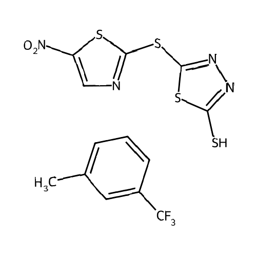 Cc1cccc(C(F)(F)F)c1.O=[N+]([O-])c1cnc(Sc2nnc(S)s2)s1